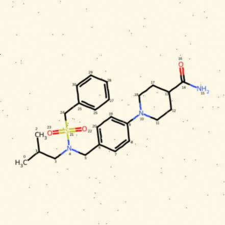 CC(C)CN(Cc1ccc(N2CCC(C(N)=O)CC2)cc1)S(=O)(=O)Cc1ccccc1